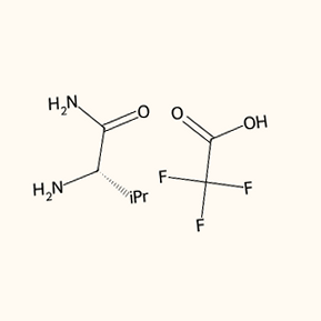 CC(C)[C@H](N)C(N)=O.O=C(O)C(F)(F)F